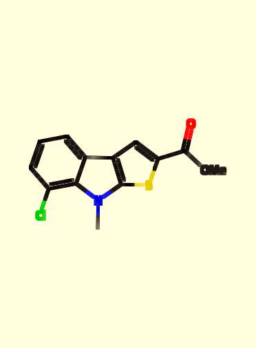 COC(=O)c1cc2c3cccc(Cl)c3n(C)c2s1